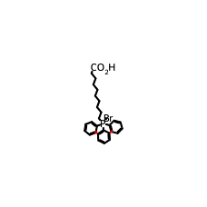 O=C(O)CCCCCCCCCP(Br)(c1ccccc1)(c1ccccc1)c1ccccc1